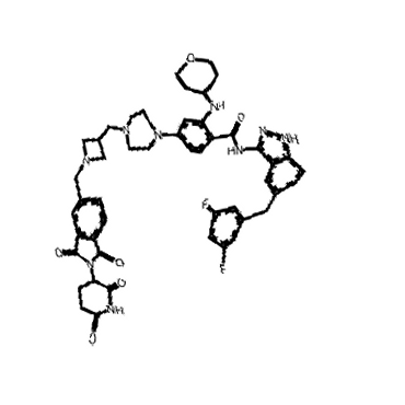 O=C1CCC(N2C(=O)c3ccc(CN4CC(CN5CCN(c6ccc(C(=O)Nc7n[nH]c8ccc(Cc9cc(F)cc(F)c9)cc78)c(NC7CCOCC7)c6)CC5)C4)cc3C2=O)C(=O)N1